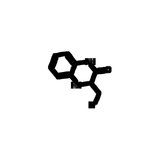 O=C1Nc2ccccc2NC1CBr